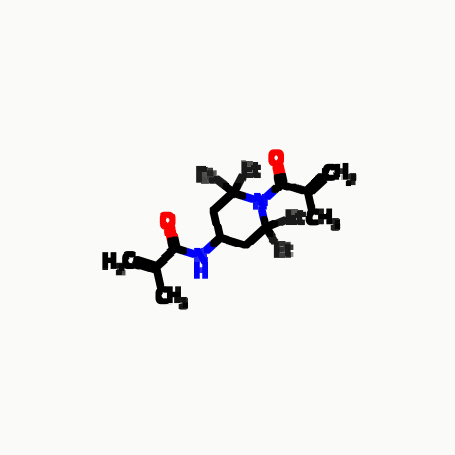 C=C(C)C(=O)NC1CC(CC)(CC)N(C(=O)C(=C)C)C(CC)(CC)C1